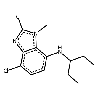 CCC(CC)Nc1ccc(Cl)c2nc(Cl)n(C)c12